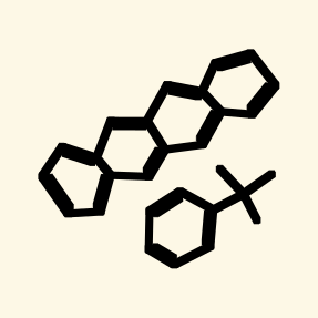 CC(C)(C)c1ccccc1.c1ccc2cc3cc4ccccc4cc3cc2c1